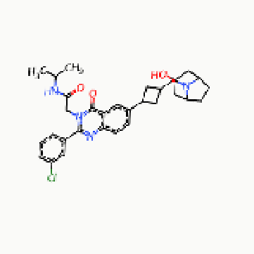 CC(C)NC(=O)Cn1c(-c2cccc(Cl)c2)nc2ccc(C3CC(CN4C5CCC4CC(O)C5)C3)cc2c1=O